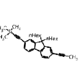 CC#Cc1ccc2c(c1)C(CCCCCC)(CCCCCC)c1cc(C#C[Si](C)(C)C)ccc1-2